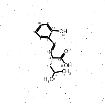 CC(C)C[C@H](N=Cc1ccccc1O)C(=O)O